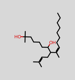 CCCCCCCC=C(C)C(CC=C(C)C)C(O)CCCCC(C)(C)O